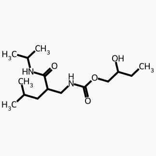 CCC(O)COC(=O)NCC(CC(C)C)C(=O)NC(C)C